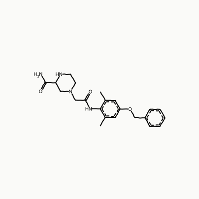 Cc1cc(OCc2ccccc2)cc(C)c1NC(=O)CN1CCNC(C(N)=O)C1